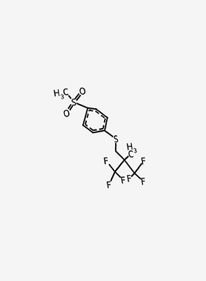 CC(CSc1ccc(S(C)(=O)=O)cc1)(C(F)(F)F)C(F)(F)F